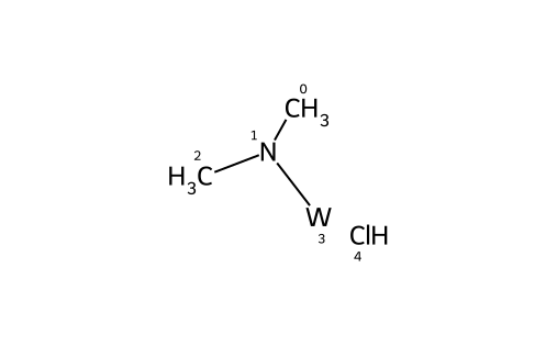 C[N](C)[W].Cl